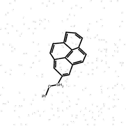 CC(C)O[SiH2]c1cc2ccc3cccc4ccc(c1)c2c34